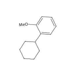 COc1ccccc1C1CCCCC1